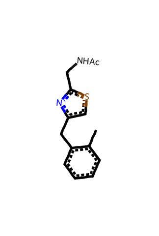 CC(=O)NCc1nc(Cc2ccccc2C)cs1